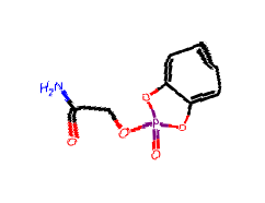 NC(=O)COP1(=O)Oc2ccccc2O1